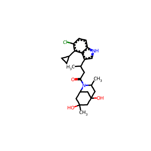 CC(CC(=O)N1C(C)CC2(O)CC1CC(C)(O)C2)c1c[nH]c2ccc(Cl)c(C3CC3)c12